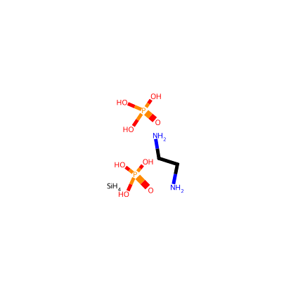 NCCN.O=P(O)(O)O.O=P(O)(O)O.[SiH4]